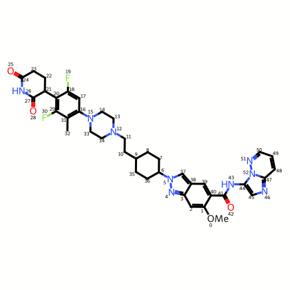 COc1cc2nn(C3CCC(CCN4CCN(c5cc(F)c(C6CCC(=O)NC6=O)c(F)c5C)CC4)CC3)cc2cc1C(=O)Nc1cnc2cccnn12